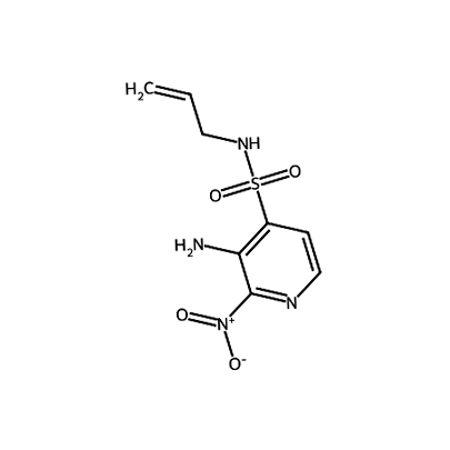 C=CCNS(=O)(=O)c1ccnc([N+](=O)[O-])c1N